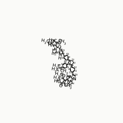 COC(=O)N[C@@H](C(=O)N1CCC[C@H]1c1ncc(-c2ccc([C@@H]3CC[C@@H](c4ccc(-c5cnc([C@@H]6CCCN6C(=O)[C@H]([C@H](C)OC)N(C)C(=O)O)[nH]5)cc4)N3c3ccc(C(C)(C)C)cc3)cc2)[nH]1)[C@H](C)OC